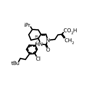 C=C(CCN1C=C2CC(C(C)C)CC[C@]2(c2ccc(CCC(C)(C)C)c(Cl)c2)NC1=O)C(=O)O